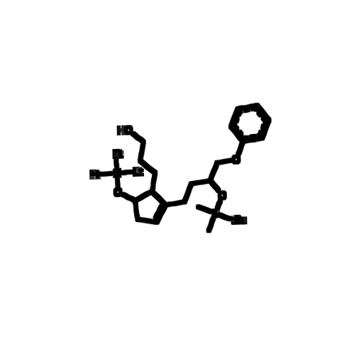 CC[Si](CC)(CC)OC1CC=C(CCC(COc2ccccc2)O[Si](C)(C)C(C)(C)C)C1CCCO